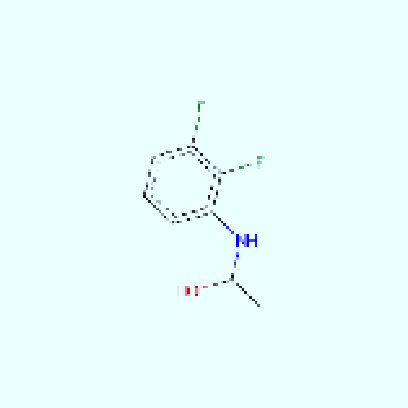 CC(O)Nc1cccc(Cl)c1F